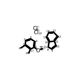 Cc1cccc([O][Ti+2][CH]2C=Cc3ccccc32)c1C.[Cl-].[Cl-]